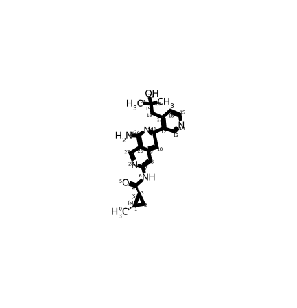 C[C@H]1C[C@@H]1C(=O)Nc1cc2cc(-c3cnccc3CC(C)(C)O)nc(N)c2cn1